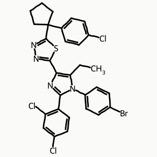 CCc1c(-c2nnc(C3(c4ccc(Cl)cc4)CCCC3)s2)nc(-c2ccc(Cl)cc2Cl)n1-c1ccc(Br)cc1